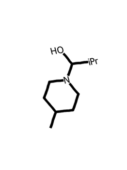 CC1CCN(C(O)C(C)C)CC1